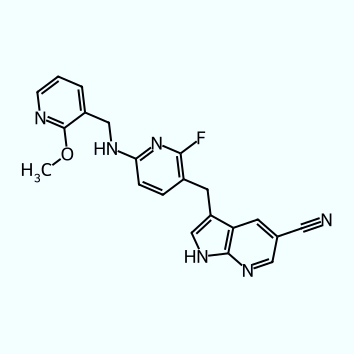 COc1ncccc1CNc1ccc(Cc2c[nH]c3ncc(C#N)cc23)c(F)n1